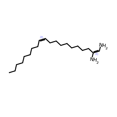 CCCCCCCC/C=C\CCCCCCCC/C(N)=C\N